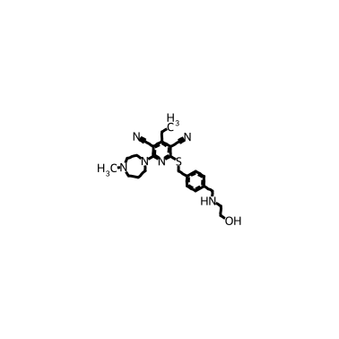 CCc1c(C#N)c(SCc2ccc(CNCCO)cc2)nc(N2CCCN(C)CC2)c1C#N